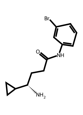 N[C@@H](CCC(=O)Nc1cccc(Br)c1)C1CC1